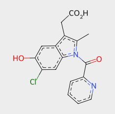 Cc1c(CC(=O)O)c2cc(O)c(Cl)cc2n1C(=O)c1ccccn1